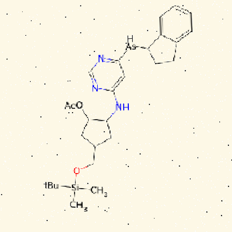 CC(=O)OC1CC(CO[Si](C)(C)C(C)(C)C)CC1Nc1cc([AsH]C2CCc3ccccc32)ncn1